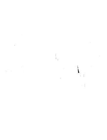 O=C(NC(c1cccc(F)c1Cl)[C@]1(O)CC[C@H](F)CC1)c1ccccc1OC(F)(F)F